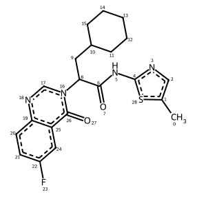 Cc1cnc(NC(=O)C(CC2CCCCC2)n2cnc3ccc(F)cc3c2=O)s1